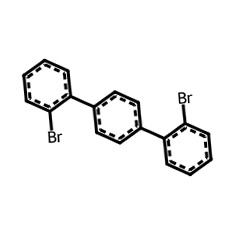 Brc1ccccc1-c1ccc(-c2ccccc2Br)cc1